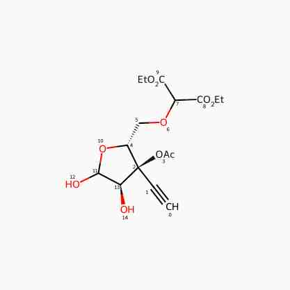 C#C[C@@]1(OC(C)=O)[C@@H](COC(C(=O)OCC)C(=O)OCC)OC(O)[C@@H]1O